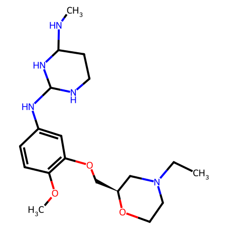 CCN1CCO[C@@H](COc2cc(NC3NCCC(NC)N3)ccc2OC)C1